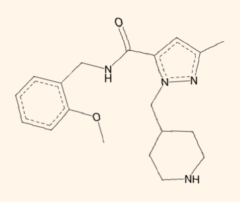 COc1ccccc1CNC(=O)c1cc(C)nn1CC1CCNCC1